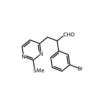 CSc1nccc(CC(C=O)c2cccc(Br)c2)n1